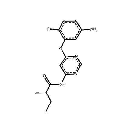 CCC(C)C(=O)Nc1cc(Oc2cc(N)ccc2F)ncn1